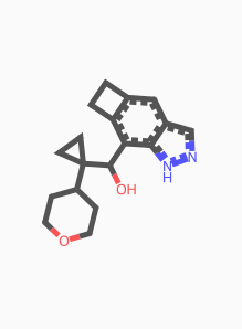 OC(c1c2c(cc3cn[nH]c13)CC2)C1(C2CCOCC2)CC1